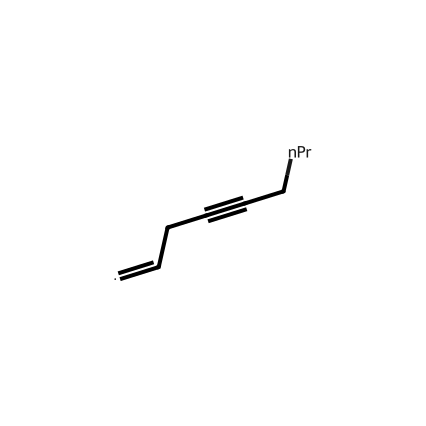 [CH]=CCC#CCCCC